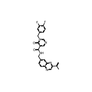 C=C(C)c1cnc2ccc(CNC(=O)c3cncn(Cc4ccc(F)c(F)c4)c3=O)cc2n1